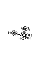 O=P(O)(O)OCCCC1OC(COP(=O)(O)O)C(O)C(O)C1O